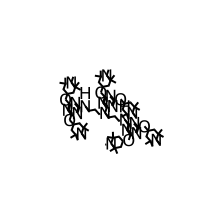 CN1C(C)(C)CC(Oc2nc(NCCCN(CCCNc3nc(OC4CC(C)(C)N(C)C(C)(C)C4)nc(OC4CC(C)(C)N(C)C(C)(C)C4)n3)c3nc(OC4CC(C)(C)N(C)C(C)(C)C4)nc(OC4CC(C)(C)N(C)C(C)(C)C4)n3)nc(OC3CC(C)(C)N(C)C(C)(C)C3)n2)CC1(C)C